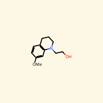 COc1ccc2c(c1)N(CCO)CCC2